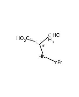 CCCN[C@@H](C)C(=O)O.Cl